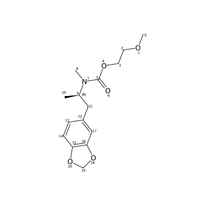 COCCOC(=O)N(C)[C@H](C)Cc1ccc2c(c1)OCO2